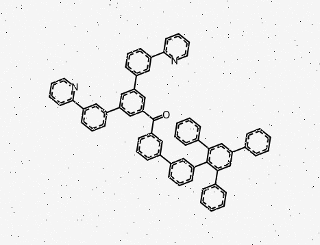 O=C(c1cccc(-c2cccc(-c3c(-c4ccccc4)cc(-c4ccccc4)cc3-c3ccccc3)c2)c1)c1cc(-c2cccc(-c3ccccn3)c2)cc(-c2cccc(-c3ccccn3)c2)c1